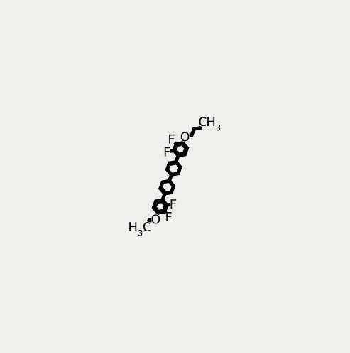 CCCCOc1ccc(C2=CCC(C3CC=C(c4ccc(OCC)c(F)c4F)CC3)CC2)c(F)c1F